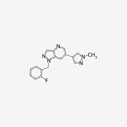 Cn1cc(-c2cnc3cnn(Cc4ccccc4F)c3c2)cn1